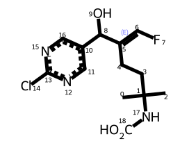 CC(C)(CC/C(=C\F)C(O)c1cnc(Cl)nc1)NC(=O)O